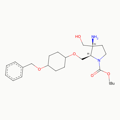 CC(C)(C)OC(=O)N1CC[C@@](N)(CO)[C@@H]1COC1CCC(OCc2ccccc2)CC1